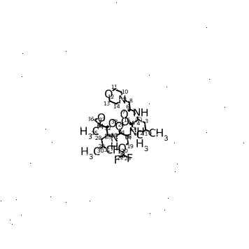 CC(C)C[C@H](NC(=O)CN1CCOCC1)C(=O)N[C@@H](COC(F)F)C(=O)N[C@@H](CC(C)C)C(=O)[C@@]1(C)CO1